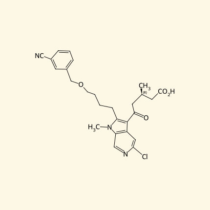 C[C@@H](CC(=O)O)CC(=O)c1c(CCCCOCc2cccc(C#N)c2)n(C)c2cnc(Cl)cc12